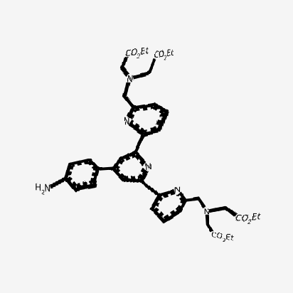 CCOC(=O)CN(CC(=O)OCC)Cc1cccc(-c2cc(-c3ccc(N)cc3)cc(-c3cccc(CN(CC(=O)OCC)CC(=O)OCC)n3)n2)n1